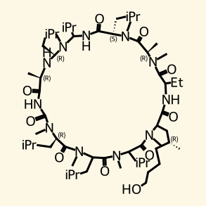 CCC1NC(=O)C(C[C@H](C)CCCCO)N(C)C(=O)C(C(C)C)N(C)C(=O)C(CC(C)C)N(C)C(=O)[C@@H](CC(C)C)N(C)C(=O)NC(=O)[C@@H](C)N[C@@H](CC(C)C)N(C)C(C(C)C)NC(=O)[C@H](CC(C)C)N(C)C(=O)[C@@H](C)N(C)C1=O